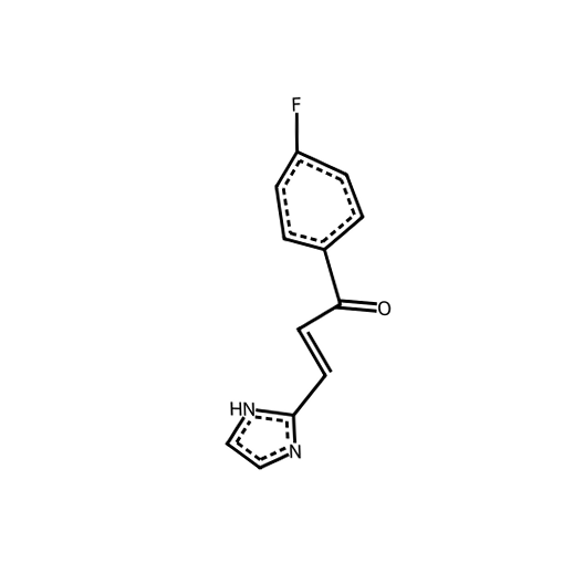 O=C(C=Cc1ncc[nH]1)c1ccc(F)cc1